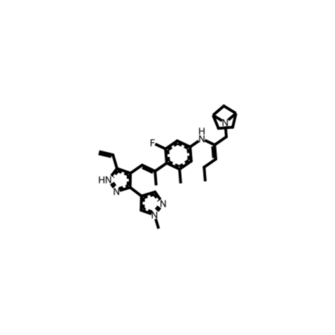 C=Cc1[nH]nc(-c2cnn(C)c2)c1/C=C(\C)c1c(C)cc(NC(=CCC)CN2C3CCC2C3)cc1F